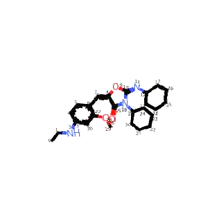 CCNc1ccc(/C=C2/O/C(=N/C3CCCCC3)N(C3CCCCC3)C2=O)c(OC)c1